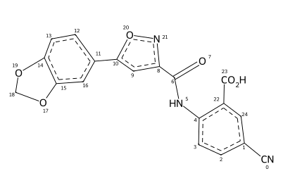 N#Cc1ccc(NC(=O)c2cc(-c3ccc4c(c3)OCO4)on2)c(C(=O)O)c1